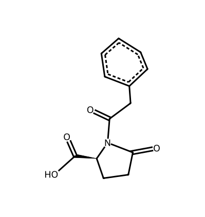 O=C(O)[C@@H]1CCC(=O)N1C(=O)Cc1ccccc1